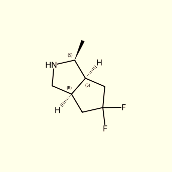 C[C@@H]1NC[C@@H]2CC(F)(F)C[C@@H]21